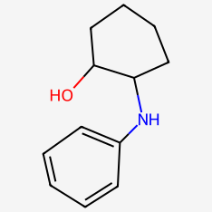 OC1CCCCC1Nc1ccccc1